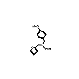 CCCC(C)N(Cc1ccc(OC)cc1)Cc1ccco1